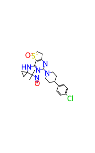 CC(C)(N=O)C1(Nc2nc(N3CCC(c4ccc(Cl)cc4)CC3)nc3c2[S+]([O-])CC3)CC1